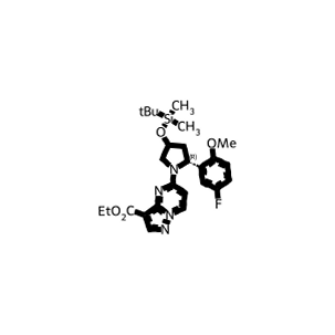 CCOC(=O)c1cnn2ccc(N3CC(O[Si](C)(C)C(C)(C)C)C[C@@H]3c3cc(F)ccc3OC)nc12